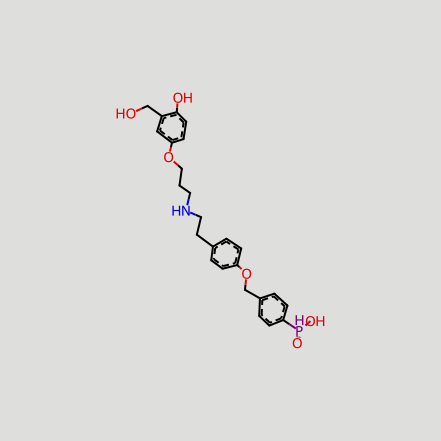 O=[PH](O)c1ccc(COc2ccc(CCNCCCOc3ccc(O)c(CO)c3)cc2)cc1